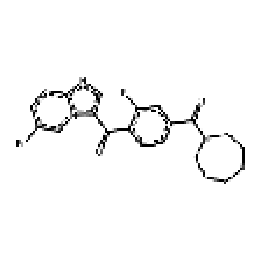 O=C(c1ccc(C(=O)N2CCCCCC2)cc1F)c1cnc2ccc(Br)cn12